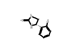 O=C1N[C@@H](c2ccccc2Cl)CO1